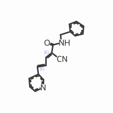 N#C/C(=C\C=C\c1cccnc1)C(=O)NCc1ccccc1